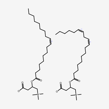 CCCCC/C=C\C/C=C\CCCCCCCC(=O)OC(CC(=O)[O-])C[N+](C)(C)C.CCCCCCCC/C=C\CCCCCCCC(=O)OC(CC(=O)[O-])C[N+](C)(C)C